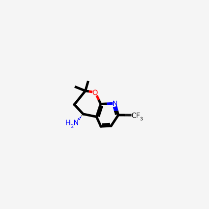 CC1(C)C[C@@H](N)c2ccc(C(F)(F)F)nc2O1